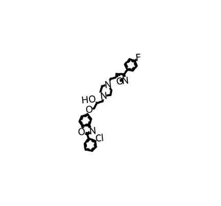 O[C@@H](COc1ccc2oc(-c3ccccc3Cl)nc2c1)CN1CCN(Cc2cc(-c3ccc(F)cc3)no2)CC1